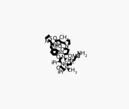 CC[C@H](C)[C@@H]([C@@H](CC(=O)N1CCC[C@H]1[C@H](OC)[C@@H](C)C(=O)N[C@@H](Cc1ccccc1)c1nccs1)OC)N(C)C(=O)[C@@H](NC(=O)C(C(C)C)N(C)CCOCCON)C(C)C